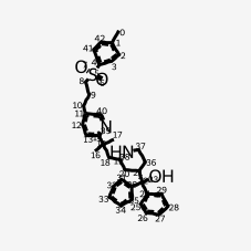 Cc1ccc(S(=O)(=O)CCCc2ccc(C(C)(C)CC3CC(C(O)(c4ccccc4)c4ccccc4)CCN3)nc2)cc1